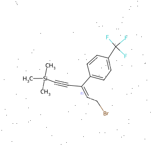 C[Si](C)(C)C#C/C(=C/CBr)c1ccc(C(F)(F)F)cc1